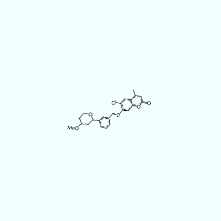 COC1CCOC(c2cccc(COc3cc4oc(=O)cc(C)c4cc3Cl)c2)C1